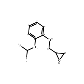 FC(F)Oc1ccccc1OCC1CO1